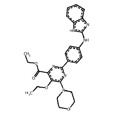 CCOC(=O)c1nc(-c2ccc(Nc3nc4ccccc4[nH]3)cc2)nc(N2CCOCC2)c1OCC